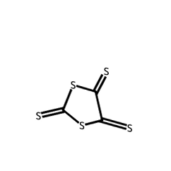 S=C1SC(=S)C(=S)S1